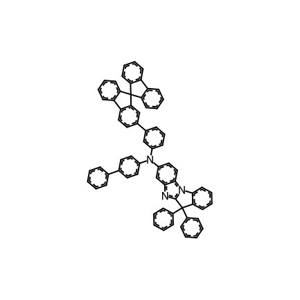 c1ccc(-c2ccc(N(c3cccc(-c4ccc5c(c4)C4(c6ccccc6-c6ccccc64)c4ccccc4-5)c3)c3ccc4c(c3)nc3n4-c4ccccc4C3(c3ccccc3)c3ccccc3)cc2)cc1